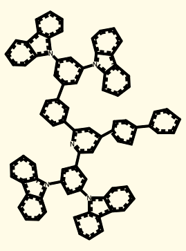 c1ccc(-c2ccc(-c3cc(-c4cccc(-c5cc(-n6c7ccccc7c7ccccc76)cc(-n6c7ccccc7c7ccccc76)c5)c4)nc(-c4cc(-n5c6ccccc6c6ccccc65)cc(-n5c6ccccc6c6ccccc65)c4)c3)cc2)cc1